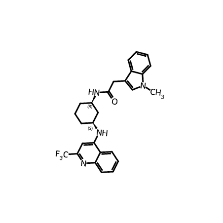 Cn1cc(CC(=O)N[C@@H]2CCC[C@H](Nc3cc(C(F)(F)F)nc4ccccc34)C2)c2ccccc21